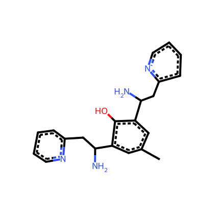 Cc1cc(C(N)Cc2ccccn2)c(O)c(C(N)Cc2ccccn2)c1